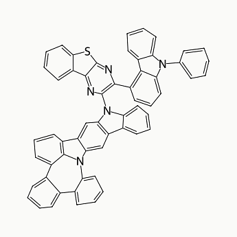 c1ccc(-n2c3ccccc3c3c(-c4nc5sc6ccccc6c5nc4-n4c5ccccc5c5cc6c(cc54)c4cccc5c4n6-c4ccccc4-c4ccccc4-5)cccc32)cc1